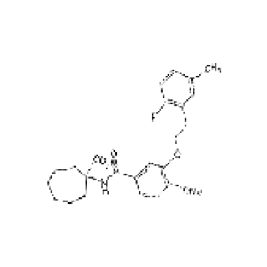 COc1ccc(C(=O)NC2(C(=O)O)CCCCCC2)cc1OCCc1cc(C)ccc1F